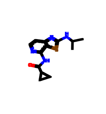 CC(C)Nc1nc2ccnc(NC(=O)C3CC3)c2s1